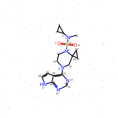 CN(C1CC1)S(=O)(=O)N1CCN(c2ncnc3[nH]ccc23)CC12CC2